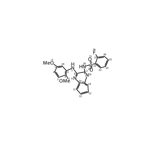 COc1ccc(OC)c(Nc2nc3ccccc3nc2NS(=O)(=O)c2ccccc2F)c1